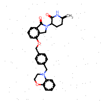 C=C1CCC(N2Cc3c(OCc4ccc(CN5CCOc6ccccc65)cc4)cccc3C2=O)C(=O)N1